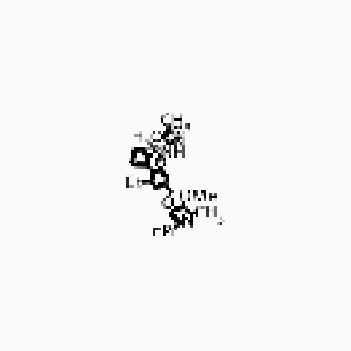 CCCc1cc(OCc2ccc(-c3ccccc3S(=O)(=O)Nc3noc(C)c3C)c(CC)c2)c(OC)c(C)n1